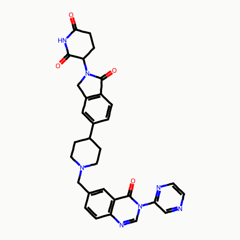 O=C1CCC(N2Cc3cc(C4CCN(Cc5ccc6ncn(-c7cnccn7)c(=O)c6c5)CC4)ccc3C2=O)C(=O)N1